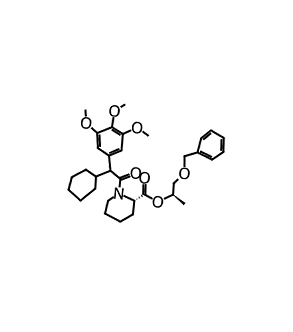 COc1cc(C(C(=O)N2CCCC[C@H]2C(=O)O[C@H](C)COCc2ccccc2)C2CCCCC2)cc(OC)c1OC